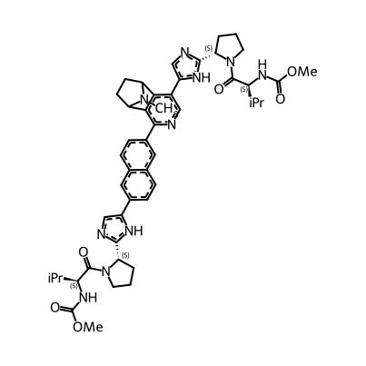 COC(=O)N[C@H](C(=O)N1CCC[C@H]1c1ncc(-c2ccc3cc(-c4ncc(-c5cnc([C@@H]6CCCN6C(=O)[C@@H](NC(=O)OC)C(C)C)[nH]5)c5c4C4CCC5N4C)ccc3c2)[nH]1)C(C)C